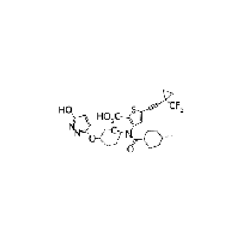 C[C@H]1CC[C@H](C(=O)N(c2cc(C#CC3(C(F)(F)F)CC3)sc2C(=O)O)[C@H]2CC[C@H](Oc3ccc(O)nn3)CC2)CC1